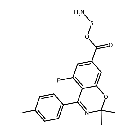 CC1(C)N=C(c2ccc(F)cc2)c2c(F)cc(C(=O)OSN)cc2O1